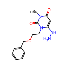 CCCCn1c(=O)cc(NN)n(CCOCc2ccccc2)c1=O